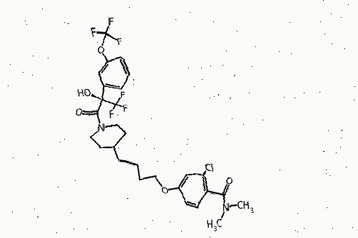 CN(C)C(=O)c1ccc(OCCCCC2CCN(C(=O)[C@](O)(c3cccc(OC(F)(F)F)c3)C(F)(F)F)CC2)cc1Cl